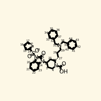 O=C(O)N1CCC(n2c(=O)n(S(=O)(=O)c3cccs3)c3ccccc32)C[C@@H]1CCCN(Cc1ccccc1)Cc1ccccc1